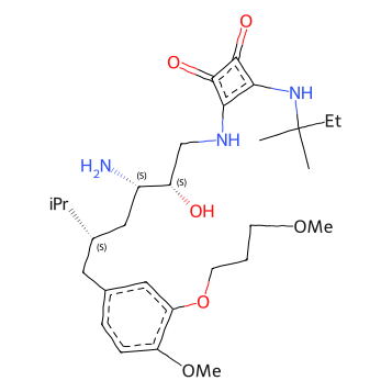 CCC(C)(C)Nc1c(NC[C@H](O)[C@@H](N)C[C@H](Cc2ccc(OC)c(OCCCOC)c2)C(C)C)c(=O)c1=O